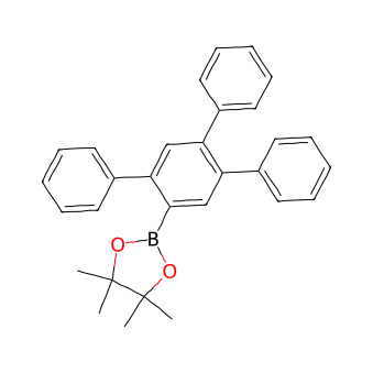 CC1(C)OB(c2cc(-c3ccccc3)c(-c3ccccc3)cc2-c2ccccc2)OC1(C)C